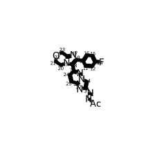 CC(=O)N=Nc1cn2nc(-c3c(-c4ccc(F)cc4)nc4n3CCOC4)ccc2n1